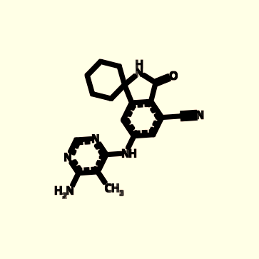 Cc1c(N)ncnc1Nc1cc(C#N)c2c(c1)C1(CCCCC1)NC2=O